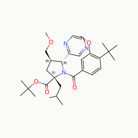 COC[C@@H]1C[C@@](CC(C)C)(C(=O)OC(C)(C)C)N(C(=O)c2ccc(C(C)(C)C)c(OC)c2)[C@H]1c1cnccn1